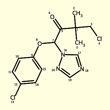 CC(C)(CCl)C(=O)C(Oc1ccc(Cl)cc1)n1cncn1